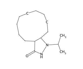 CC(C)N1NC(=O)C2CCCCCCCCCC21